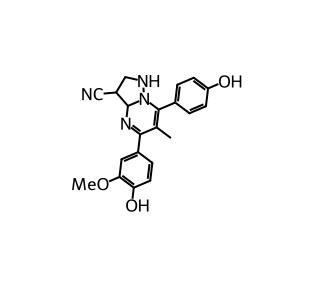 COc1cc(C2=NC3C(C#N)CNN3C(c3ccc(O)cc3)=C2C)ccc1O